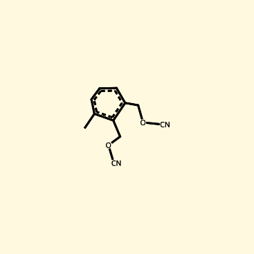 Cc1cccc(COC#N)c1COC#N